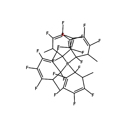 CC1C(F)=C(F)C(F)=C(F)C1(F)[B-](C1(F)C(F)=C(F)C(F)=C(F)C1C)(C1(F)C(F)=C(F)C(F)=C(F)C1C)C1(F)C(F)=C(F)C(F)=C(F)C1C